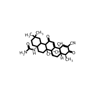 C[C@@H]1C(=O)C(C#N)=C[C@]2(C)C3=CC(=O)C4C5CC(C)(C)CC[C@]5(NC(N)=O)CC[C@@]4(C)[C@]3(C)CC[C@@H]12